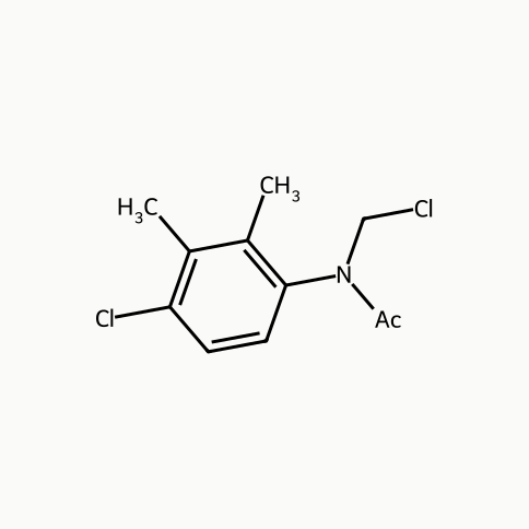 CC(=O)N(CCl)c1ccc(Cl)c(C)c1C